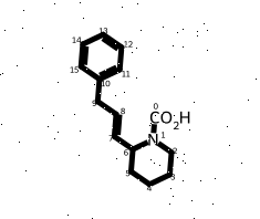 O=C(O)N1CCCCC1C=CCc1ccccc1